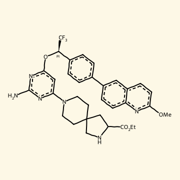 CCOC(=O)C1CC2(CCN(c3cc(O[C@H](c4ccc(-c5ccc6nc(OC)ccc6c5)cc4)C(F)(F)F)nc(N)n3)CC2)CN1